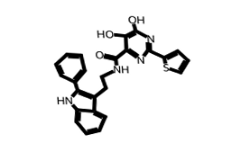 O=C(NCCc1c(-c2ccccc2)[nH]c2ccccc12)c1nc(-c2cccs2)nc(O)c1O